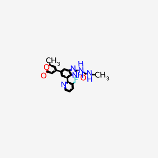 CCNC(=O)Nc1nc2cc(-c3cc(C)oc(=O)c3)cc(-c3ncccc3F)c2[nH]1